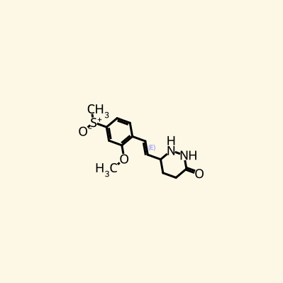 COc1cc([S+](C)[O-])ccc1/C=C/C1CCC(=O)NN1